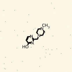 CN1CCN(Cc2nccc(O)n2)CC1